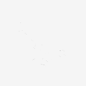 C=Cc1cnn2cc(-c3cnn(C)c3)cc(-c3ccc(N4CCN(C(=O)OC(C)(C)C)CC4)nc3)c12